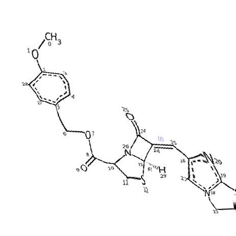 COc1ccc(COC(=O)C2CS[C@@H]3/C(=C\c4cn5c(n4)SCC5)C(=O)N23)cc1